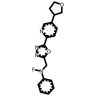 FN(Cc1nnc(-c2ccc(C3CCOC3)cn2)o1)c1ccccc1